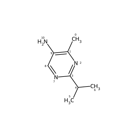 Cc1nc(C(C)C)ncc1N